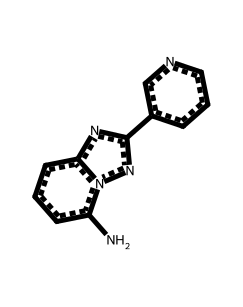 Nc1cccc2nc(-c3cccnc3)nn12